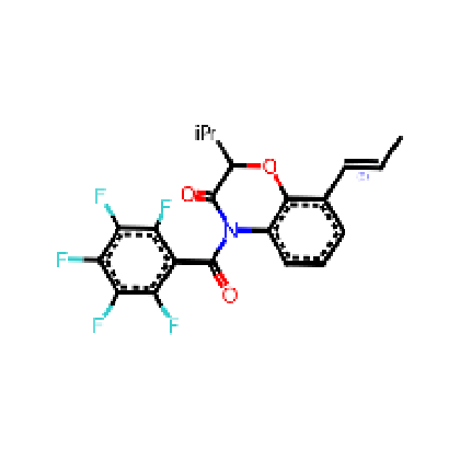 C/C=C/c1cccc2c1OC(C(C)C)C(=O)N2C(=O)c1c(F)c(F)c(F)c(F)c1F